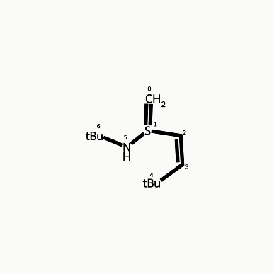 C=S(/C=C\C(C)(C)C)NC(C)(C)C